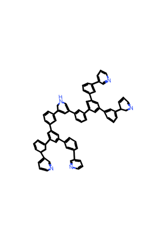 C1=CC(c2cccc(-c3cc(-c4cccc(C5=CNCC(c6cccc(-c7cc(C8=CC=CC(c9cccnc9)C8)cc(-c8cccc(-c9cccnc9)c8)c7)c6)=C5)c4)cc(-c4cccc(-c5cccnc5)c4)c3)c2)CN=C1